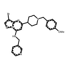 COc1ccc(CN2CCC(c3cc(NCc4cccnc4)n4ncc(Br)c4n3)CC2)cc1